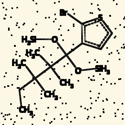 CCC(C)(C)C(C)(C)C(O[SiH3])(O[SiH3])c1ccsc1Br